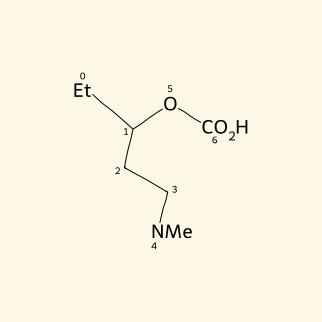 CCC(CCNC)OC(=O)O